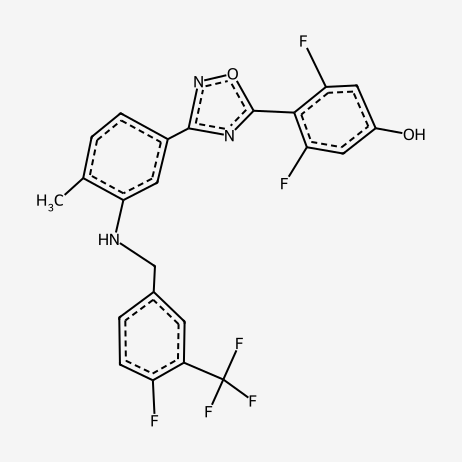 Cc1ccc(-c2noc(-c3c(F)cc(O)cc3F)n2)cc1NCc1ccc(F)c(C(F)(F)F)c1